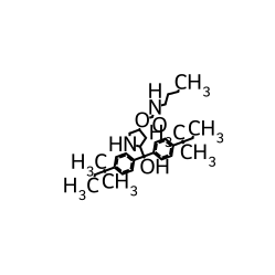 CCCCNC(=O)O[C@H]1CNC(C(O)(c2ccc(C(C)(C)CC)cc2)c2ccc(C(C)(C)CC)cc2)C1